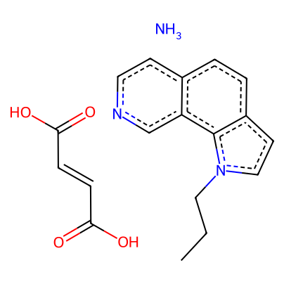 CCCn1ccc2ccc3ccncc3c21.N.O=C(O)C=CC(=O)O